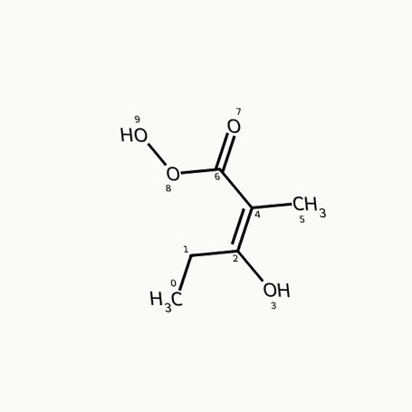 CCC(O)=C(C)C(=O)OO